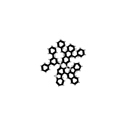 C1=CC2Oc3cc4c5c(c3C2C=C1)-c1cc2ccccc2c2c3ccccc3n(c12)B5c1cc2c(Cc3ccccc3)c3ccccc3c(Cc3ccccc3)c2cc1N4c1cc(-c2ccccc2)cc(-c2ccccc2)c1